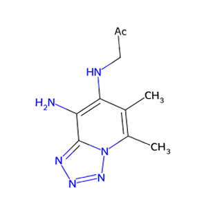 CC(=O)CNc1c(C)c(C)n2nnnc2c1N